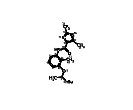 CCCCC(C)Oc1cccc(NC(=O)c2sc(C(F)(F)F)nc2C)c1C